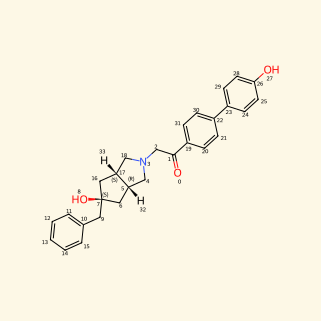 O=C(CN1C[C@@H]2C[C@](O)(Cc3ccccc3)C[C@@H]2C1)c1ccc(-c2ccc(O)cc2)cc1